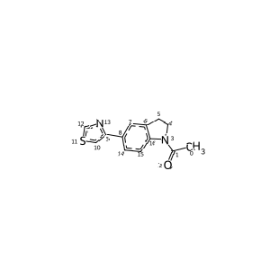 CC(=O)N1CCc2cc(-c3cs[c]n3)ccc21